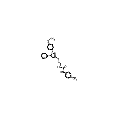 NSc1ccc(-n2nc(CCCNC(=O)Nc3ccc(C(F)(F)F)cc3)cc2-c2ccccc2)cc1